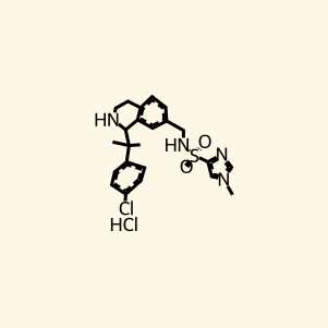 Cl.Cn1cnc(S(=O)(=O)NCc2ccc3c(c2)C(C(C)(C)c2ccc(Cl)cc2)NCC3)c1